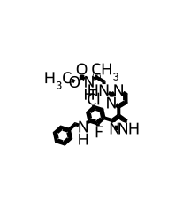 COC(=O)N[C@@H](C)CNc1nccc(-c2c[nH]nc2-c2cc(Cl)cc(NCc3ccccc3)c2F)n1